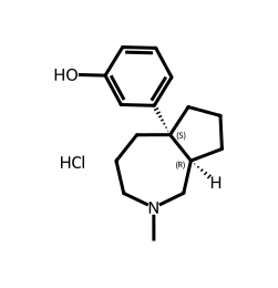 CN1CCC[C@@]2(c3cccc(O)c3)CCC[C@H]2C1.Cl